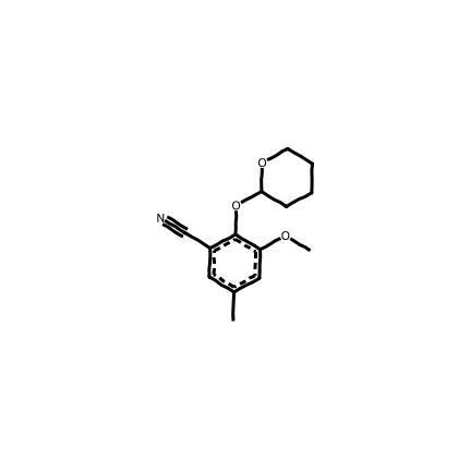 COc1cc(C)cc(C#N)c1OC1CCCCO1